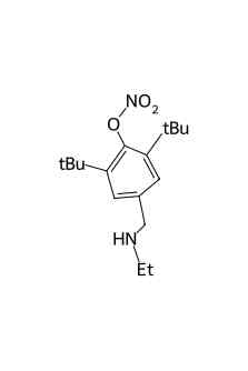 CCNCc1cc(C(C)(C)C)c(O[N+](=O)[O-])c(C(C)(C)C)c1